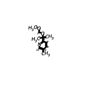 COCOC(C)(C)c1ccc(C)cn1